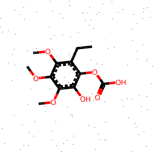 CCc1c(OC(=O)O)c(O)c(OC)c(OC)c1OC